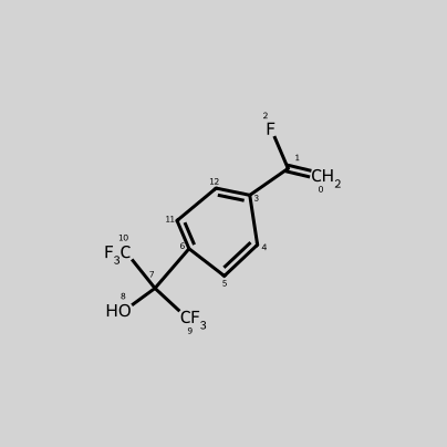 C=C(F)c1ccc(C(O)(C(F)(F)F)C(F)(F)F)cc1